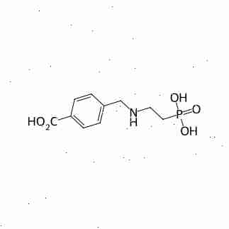 O=C(O)c1ccc(CNCCP(=O)(O)O)cc1